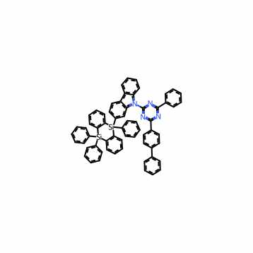 c1ccc(-c2ccc(-c3nc(-c4ccccc4)nc(-n4c5ccccc5c5ccc([Si]6(c7ccccc7)c7ccccc7[Si](c7ccccc7)(c7ccccc7)c7ccccc76)cc54)n3)cc2)cc1